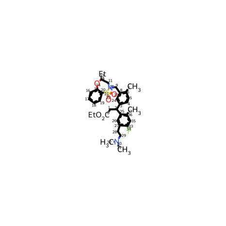 CCOC(=O)CC(c1ccc(C)c(CN2C[C@@H](CC)Oc3ccccc3S2(=O)=O)c1)c1cc(CCN(C)C)c(F)cc1C